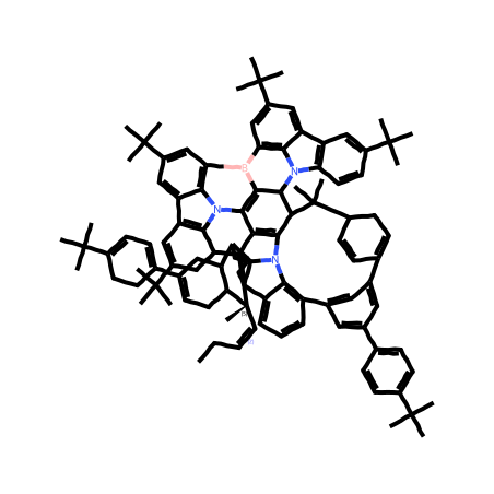 CC/C=C\[C@]1(C)C2CC=C(C3=CC=C(C(C)(C)C)CC3)CC2c2cccc3c4cccc5c4n(c23)C2=C3C4=C6B(c7cc(C(C)(C)C)cc8c9c(n4c78)C(CC(C(C)(C)C)=C9)C31C)c1cc(C(C)(C)C)cc3c4cc(C(C)(C)C)ccc4n(c13)C6C2C(C)(C)C1C=CC(=CC1)c1cc(-c2ccc(C(C)(C)C)cc2)cc-5c1